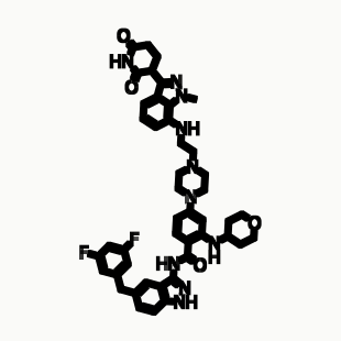 Cn1nc(C2CCC(=O)NC2=O)c2cccc(NCCN3CCN(c4ccc(C(=O)Nc5n[nH]c6ccc(Cc7cc(F)cc(F)c7)cc56)c(NC5CCOCC5)c4)CC3)c21